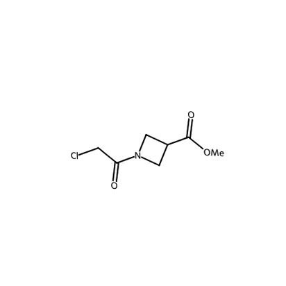 COC(=O)C1CN(C(=O)CCl)C1